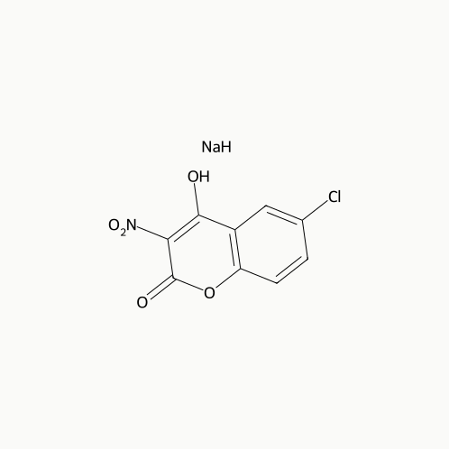 O=c1oc2ccc(Cl)cc2c(O)c1[N+](=O)[O-].[NaH]